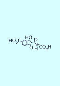 O=C(O)CNC(=O)C1=C(O)c2cc(C(=O)O)ccc2C1=O